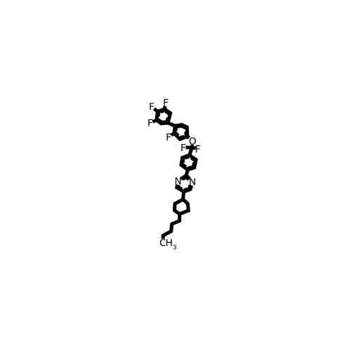 CCCCCC1CCC(c2cnc(-c3ccc(C(F)(F)Oc4ccc(-c5cc(F)c(F)c(F)c5)c(F)c4)cc3)nc2)CC1